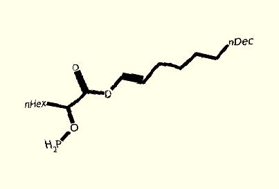 CCCCCCCCCCCCCCC=COC(=O)C(CCCCCC)OP